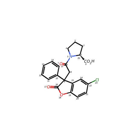 O=C(O)[C@@H]1CCCN1C(=O)CC1(c2ccccc2)C(=O)Oc2ccc(Cl)cc21